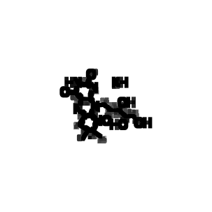 Cc1cc2nc3c(=O)[nH]c(=O)nc-3n(C[C@@H](O)[C@@H](O)[C@@H](O)CO)c2cc1C.[KH]